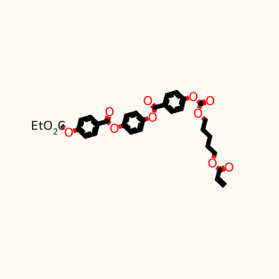 C=CC(=O)OCCCCCOC(=O)Oc1ccc(C(=O)Oc2ccc(OC(=O)c3ccc(OC(=O)OCC)cc3)cc2)cc1